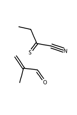 C=C(C)C=O.CCC(=S)C#N